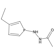 CCc1ccp(NNC(C)=O)c1